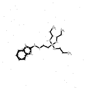 CCCO[Si](CCSSc1nc2ccccc2s1)(OCCC)OCCC